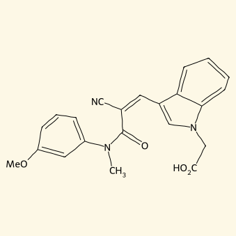 COc1cccc(N(C)C(=O)C(C#N)=Cc2cn(CC(=O)O)c3ccccc23)c1